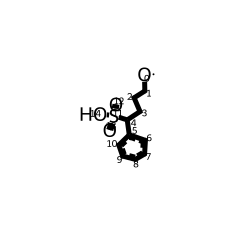 [O]CCCC(c1ccccc1)S(=O)(=O)O